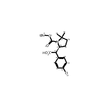 CC(C)(C)OC(=O)N1[C@H](C(C(=O)O)c2ccc(Cl)cc2)CCC1(C)C